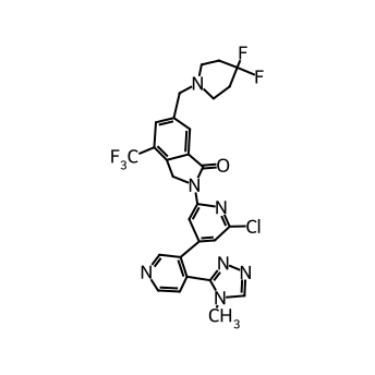 Cn1cnnc1-c1ccncc1-c1cc(Cl)nc(N2Cc3c(cc(CN4CCC(F)(F)CC4)cc3C(F)(F)F)C2=O)c1